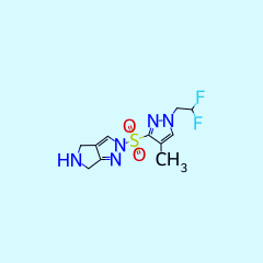 Cc1cn(CC(F)F)nc1S(=O)(=O)n1cc2c(n1)CNC2